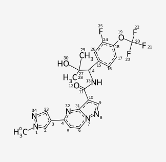 Cn1cc(-c2ccn3ncc(C(=O)NC(c4ccc(OC(F)(F)F)c(F)c4)C(C)(C)O)c3n2)cn1